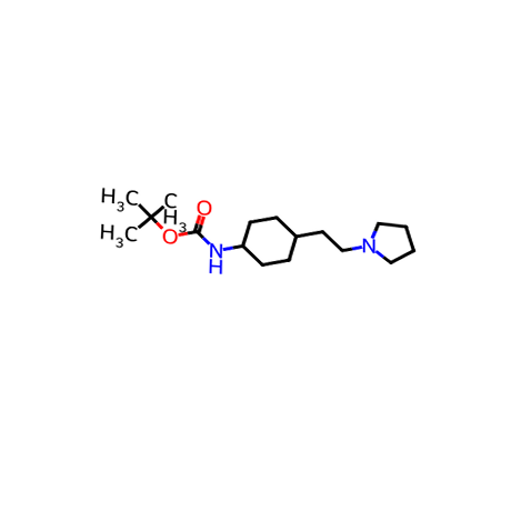 CC(C)(C)OC(=O)NC1CCC(CCN2CCCC2)CC1